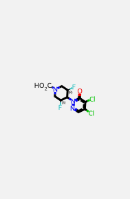 O=C(O)N1C[C@@H](F)C(n2ncc(Cl)c(Cl)c2=O)[C@@H](F)C1